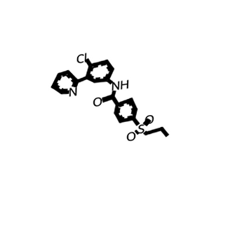 CCCS(=O)(=O)c1ccc(C(=O)Nc2ccc(Cl)c(-c3ccccn3)c2)cc1